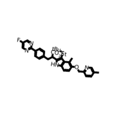 CCOC(=O)C(Cc1ccc(-c2ncc(F)cn2)cc1)c1[nH]c2ccc(OCc3ccc(C)cn3)c(C)c2c1SC(C)(C)C